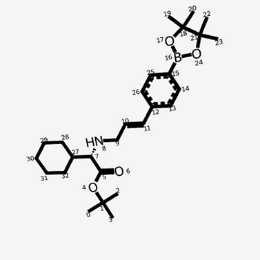 CC(C)(C)OC(=O)[C@@H](NC/C=C/c1ccc(B2OC(C)(C)C(C)(C)O2)cc1)C1CCCCC1